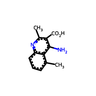 Cc1nc2cccc(C)c2c(N)c1C(=O)O